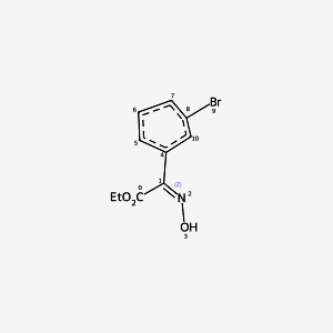 CCOC(=O)/C(=N\O)c1cccc(Br)c1